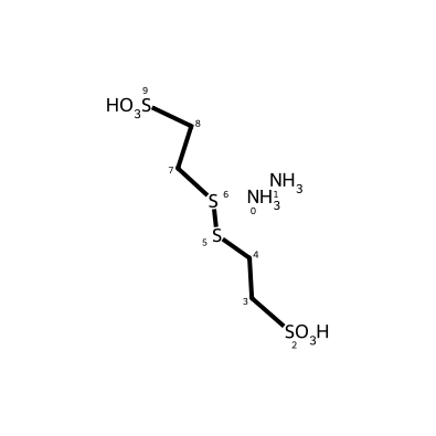 N.N.O=S(=O)(O)CCSSCCS(=O)(=O)O